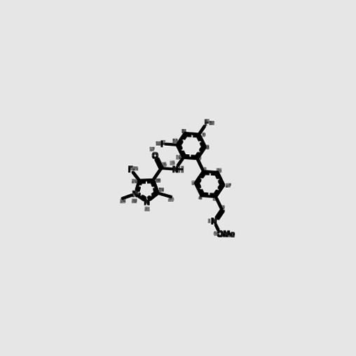 CON=Cc1ccc(-c2cc(F)cc(F)c2NC(=O)c2c(C)nn(C)c2F)cc1